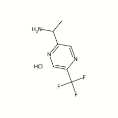 CC(N)c1cnc(C(F)(F)F)cn1.Cl